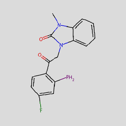 Cn1c(=O)n(CC(=O)c2ccc(F)cc2P)c2ccccc21